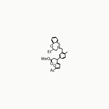 CC[C@@H]1CN(Cc2cc(C(CC(=O)OC)c3ccc(C(C)=O)o3)ccc2C)Sc2ccccc2O1